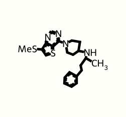 CSc1csc2c(N3CCC(NC(C)CCc4ccccc4)CC3)ncnc12